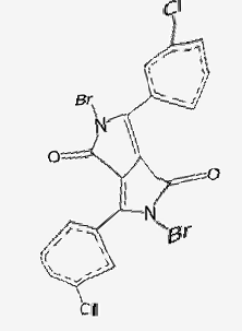 O=C1C2=C(c3cccc(Cl)c3)N(Br)C(=O)C2=C(c2cccc(Cl)c2)N1Br